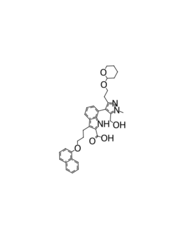 Cn1nc(CCOC2CCCCO2)c(-c2cccc3c(CCCOc4cccc5ccccc45)c(C(=O)O)[nH]c23)c1CO